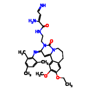 CCOc1cc2c(cc1OC)-c1c/c(=N\c3c(C)cc(C)cc3C)n(CCNC(=O)/C(N)=C/C=N)c(=O)n1CCC2